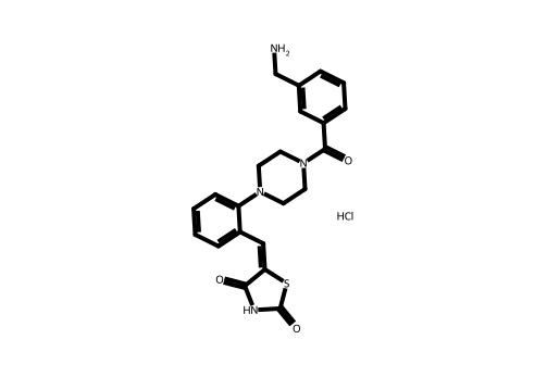 Cl.NCc1cccc(C(=O)N2CCN(c3ccccc3C=C3SC(=O)NC3=O)CC2)c1